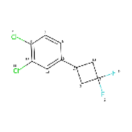 FC1(F)C[C](c2ccc(Cl)c(Cl)c2)C1